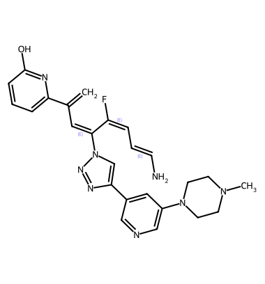 C=C(\C=C(/C(F)=C\C=C\N)n1cc(-c2cncc(N3CCN(C)CC3)c2)nn1)c1cccc(O)n1